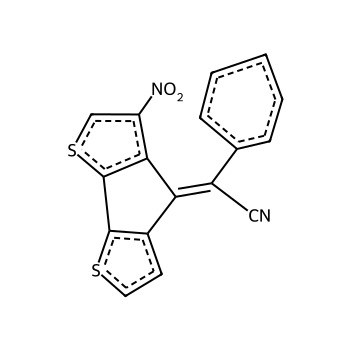 N#CC(=C1c2ccsc2-c2scc([N+](=O)[O-])c21)c1ccccc1